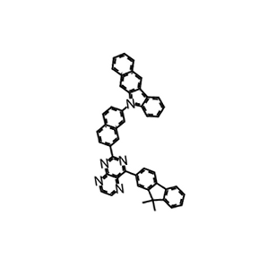 CC1(C)c2ccccc2-c2ccc(-c3nc(-c4ccc5ccc(-n6c7ccccc7c7cc8ccccc8cc76)cc5c4)nc4nccnc34)cc21